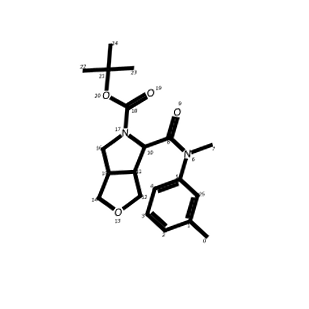 Cc1cccc(N(C)C(=O)C2C3COCC3CN2C(=O)OC(C)(C)C)c1